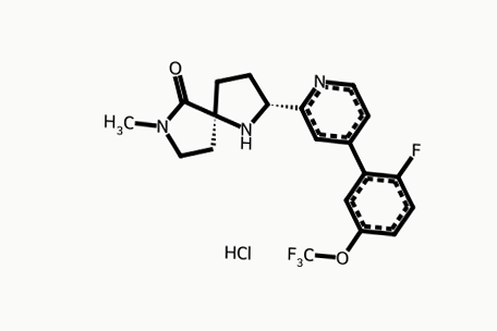 CN1CC[C@@]2(CC[C@H](c3cc(-c4cc(OC(F)(F)F)ccc4F)ccn3)N2)C1=O.Cl